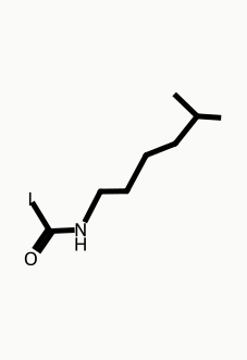 CC(C)CCCCNC(=O)I